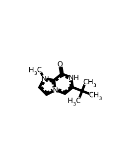 C[n+]1ccn2cc(C(C)(C)C)[nH]c(=O)c21